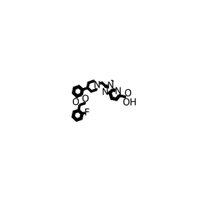 Cn1c(CN2CCC(c3cccc4c3OCC(c3ccccc3F)O4)CC2)nc2ccc(C(=O)O)nc21